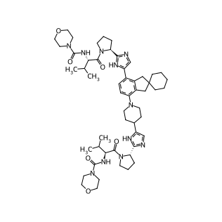 CC(C)[C@H](NC(=O)N1CCOCC1)C(=O)N1CCC[C@H]1c1ncc(-c2ccc(N3CCC(c4cnc([C@@H]5CCCN5C(=O)[C@@H](NC(=O)N5CCOCC5)C(C)C)[nH]4)CC3)c3c2CC2(CCCCC2)C3)[nH]1